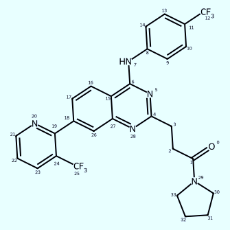 O=C(CCc1nc(Nc2ccc(C(F)(F)F)cc2)c2ccc(-c3ncccc3C(F)(F)F)cc2n1)N1CCCC1